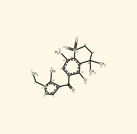 CCn1ncc(C(=O)c2cc(C)c3c(c2Cl)C(C)(C)CCS3(=O)=O)c1O